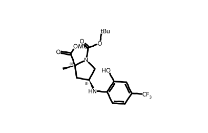 COC(=O)[C@@]1(C)C[C@H](Nc2ccc(C(F)(F)F)cc2O)CN1C(=O)OC(C)(C)C